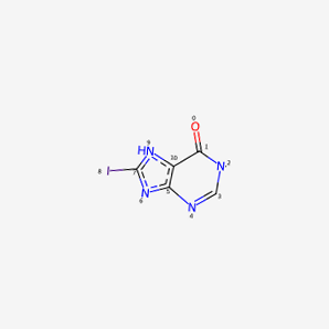 O=C1[N]C=Nc2nc(I)[nH]c21